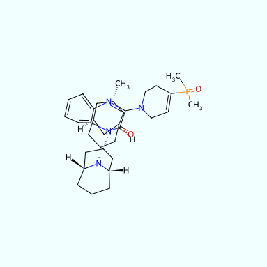 C[C@@H]1C[C@@H]2C[C@H](C1)C[C@@H](N1[C@@H]3CCC[C@H]1C[C@@H](n1c(=O)c(N4CC=C(P(C)(C)=O)CC4)nc4ccccc41)C3)C2